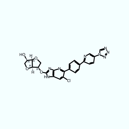 O[C@@H]1CO[C@H]2[C@@H]1OC[C@H]2Oc1nc2nc(-c3ccc(-c4ccc(-n5cnnn5)cn4)cc3)c(Cl)cc2[nH]1